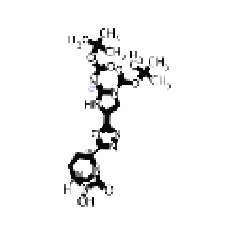 CC(C)(C)OC(=O)/N=C1/NC(c2nnc([C@@H]3CC[C@H]4CN3C(=O)N4O)o2)CN1C(=O)OC(C)(C)C